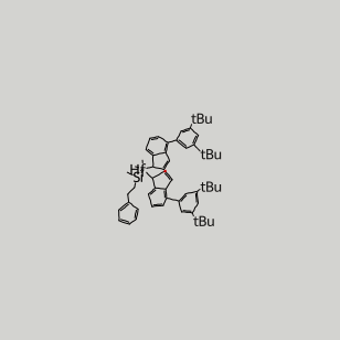 C[Si](CCc1ccccc1)=[Hf]([CH3])([CH3])([CH]1C=Cc2c(-c3cc(C(C)(C)C)cc(C(C)(C)C)c3)cccc21)[CH]1C=Cc2c(-c3cc(C(C)(C)C)cc(C(C)(C)C)c3)cccc21